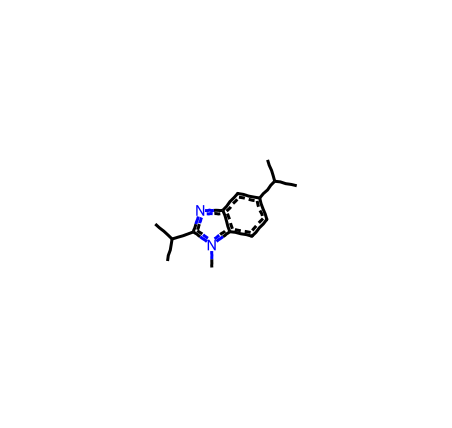 CC(C)c1ccc2c(c1)nc(C(C)C)n2C